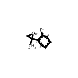 CC1(c2ccccc2F)CO1